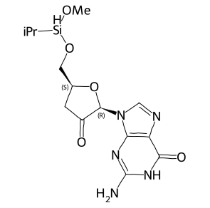 CO[SiH](OC[C@@H]1CC(=O)[C@H](n2cnc3c(=O)[nH]c(N)nc32)O1)C(C)C